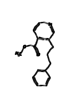 COC(=O)c1ccncc1CCCc1ccccc1